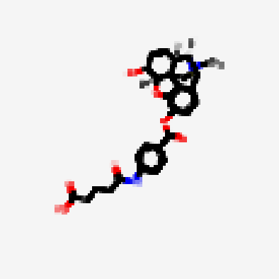 CN1CC[C@]23c4c5ccc(OC(=O)c6ccc(NC(=O)CCCC(=O)O)cc6)c4O[C@H]2[C@@H](O)C=C[C@H]3[C@H]1C5